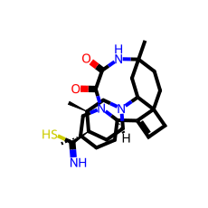 C[C@H]1CC[C@@H]2C3=CCC34CCC(C)(CC4N3CC[C@@H](C(=N)S)[C@@H](C)C3)NC(=O)C(=O)N2C1